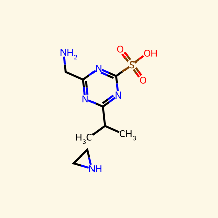 C1CN1.CC(C)c1nc(CN)nc(S(=O)(=O)O)n1